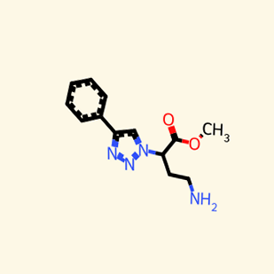 COC(=O)C(CCN)n1cc(-c2ccccc2)nn1